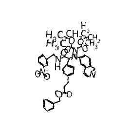 CC(C)(C)OC(=O)N(C(=O)OC(C)(C)C)N(c1ccc2cnccc2c1)C(C(=O)NCc1cccc([N+](=O)[O-])c1)c1ccc(CCC(=O)OCc2ccccc2)cc1